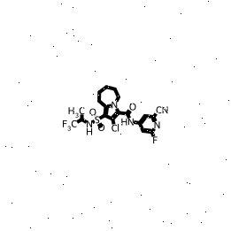 CC(NS(=O)(=O)c1c(Cl)c(C(=O)Nc2cc(F)nc(C#N)c2)n2c1CCCCC2)C(F)(F)F